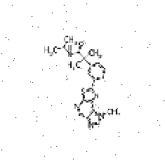 CC(C)NC(=O)C(C)(C)c1cccc(-c2nc3c(ncc4ncn(C)c43)s2)c1